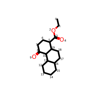 CCOC(=O)C1CCC(=O)C2C3CCCCC3CCC12